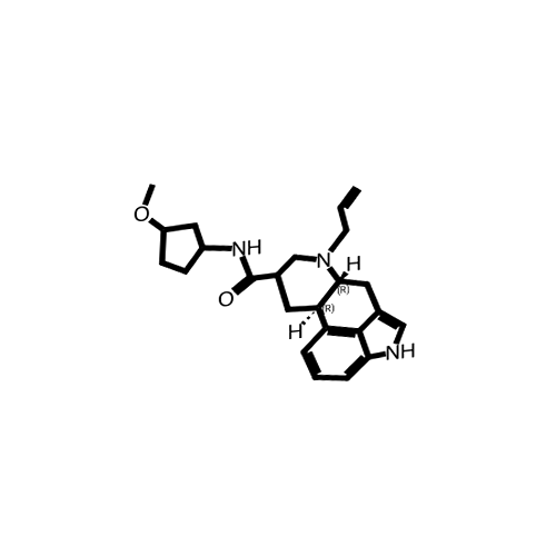 C=CCN1CC(C(=O)NC2CCC(OC)C2)C[C@@H]2c3cccc4[nH]cc(c34)C[C@H]21